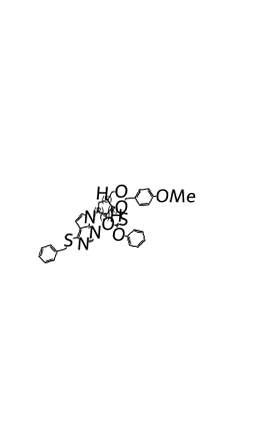 COc1ccc(C2OC[C@@H]3C[C@@H](n4ccc5c(SCc6ccccc6)ncnc54)[C@H](OC(=S)Oc4ccccc4)[C@@H]3O2)cc1